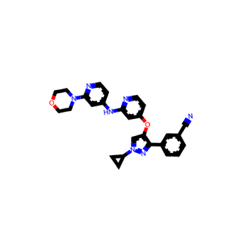 N#Cc1cccc(-c2nn(C3CC3)cc2Oc2ccnc(Nc3ccnc(N4CCOCC4)c3)c2)c1